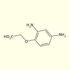 Nc1ccc(OCC(=O)O)c(N)c1